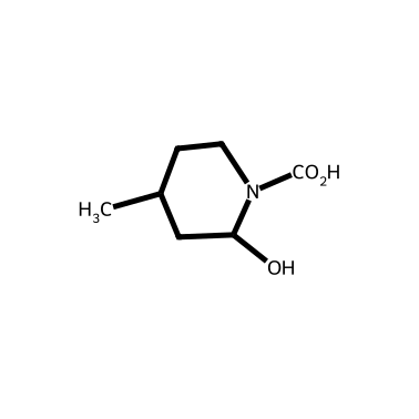 CC1CCN(C(=O)O)C(O)C1